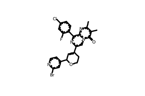 Cc1nc2c(-c3ccc(Cl)cc3F)nc(C3=CC(c4ccnc(Br)c4)OCC3)cn2c(=O)c1C